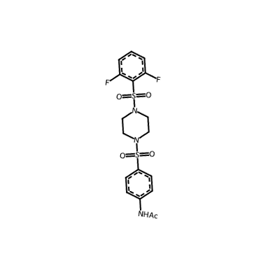 CC(=O)Nc1ccc(S(=O)(=O)N2CCN(S(=O)(=O)c3c(F)cccc3F)CC2)cc1